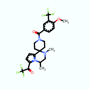 COc1ccc(C(=O)N2CCC3(CC2)c2ccc(C(=O)C(F)(F)F)n2C(C)CN3C)cc1C(F)(F)F